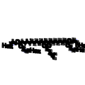 CCCCCC/C=C\COC(CCCCCCCCCC(CCCCCCCCCC(OC/C=C\CCCCCC)OC/C=C\CCCCCC)OC(=O)CCCN(C)C)OC/C=C\CCCCCC